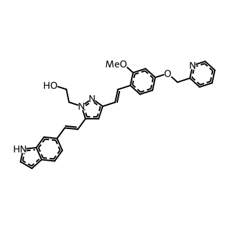 COc1cc(OCc2ccccn2)ccc1/C=C/c1cc(/C=C/c2ccc3cc[nH]c3c2)n(CCO)n1